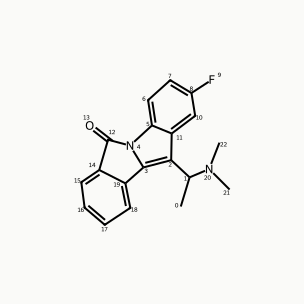 CC(c1c2n(c3ccc(F)cc13)C(=O)c1ccccc1-2)N(C)C